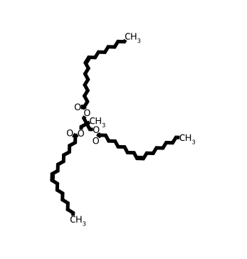 CCCCCCCC/C=C\CCCCCCCC(=O)OCC(C)(COC(=O)CCCCCCC/C=C\CCCCCCCC)COC(=O)CCCCCCC/C=C\CCCCCCCC